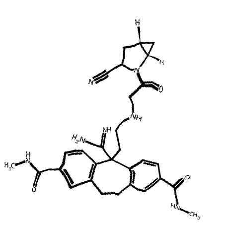 CNC(=O)c1ccc2c(c1)CCc1cc(C(=O)NC)ccc1C2(CCNCC(=O)N1C(C#N)C[C@@H]2C[C@@H]21)C(=N)N